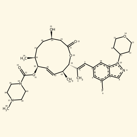 C/C(=C\c1cc(F)c2cnn(C3CCOCC3)c2c1)[C@H]1OC(=O)C[C@H](O)CC[C@H](C)[C@H](OC(=O)N2CCN(C)CC2)/C=C/[C@@H]1C